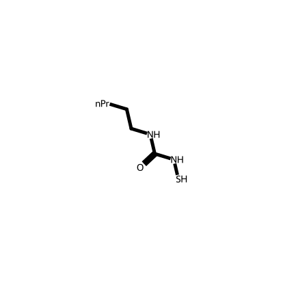 CCCCCNC(=O)NS